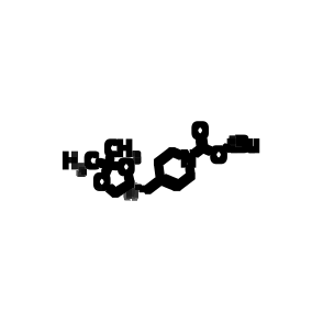 CC(C)(C)OC(=O)N1CC=C(C[C@@H]2COC(C)(C)O2)CC1